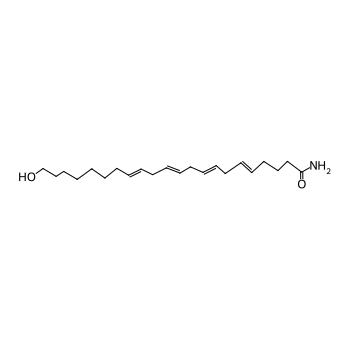 NC(=O)CCCC=CCC=CCC=CCC=CCCCCCCCO